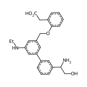 CCNc1cc(COc2ccccc2CC(=O)O)cc(-c2cccc(C(N)CO)c2)c1